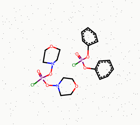 O=P(Cl)(ON1CCOCC1)ON1CCOCC1.O=P(Cl)(Oc1ccccc1)Oc1ccccc1